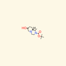 CC1[C@@H]2CC[C@@H](O)CN2CCN1C(=O)OC(C)(C)C